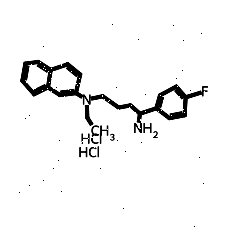 CCN(CCCC(N)c1ccc(F)cc1)c1ccc2ccccc2c1.Cl.Cl